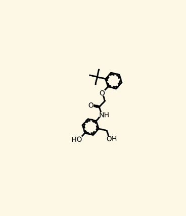 CC(C)(C)c1ccccc1OCC(=O)Nc1ccc(O)cc1CO